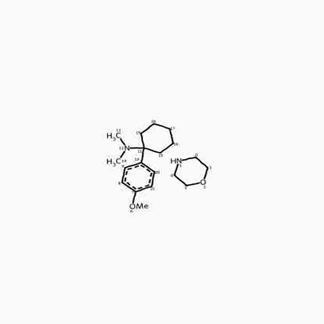 C1COCCN1.COc1ccc(C2(N(C)C)CCCCC2)cc1